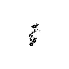 CC(Sc1cc(C(F)(F)F)ccc1F)C(=O)OCCN1CCN(CCCN2c3ccccc3Sc3ccc(C(F)(F)F)cc32)CC1